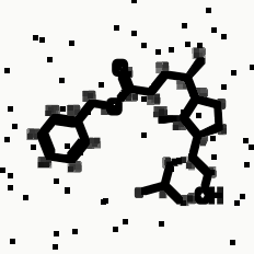 CC(C)C[C@@H](CO)[C@@H]1CCC([C@H](C)CCC(=O)OCc2ccccc2)[C@@H]1C